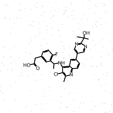 Cc1nc2ccc(-c3cnc(C(C)(C)O)nc3)cc2c(NC(C)c2cc(CC(=O)O)ccc2F)c1Cl